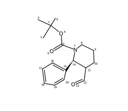 CC(C)(C)OC(=O)N1CCCC(C=O)[C@H]1c1ccccc1